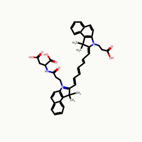 CC1(C)C(/C=C/C=C/C=C/C=C2/N(CCC(=O)O)c3ccc4ccccc4c3C2(C)C)=[N+](CCC(=O)NC(CC(=O)O)C(=O)O)c2ccc3ccccc3c21